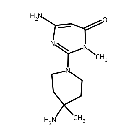 Cn1c(N2CCC(C)(N)CC2)nc(N)cc1=O